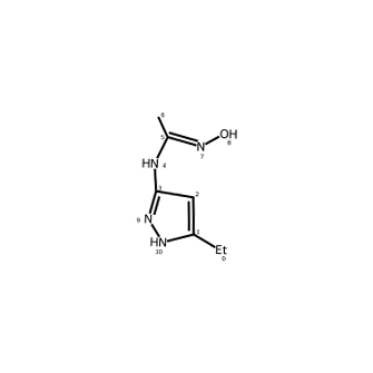 CCc1cc(NC(C)=NO)n[nH]1